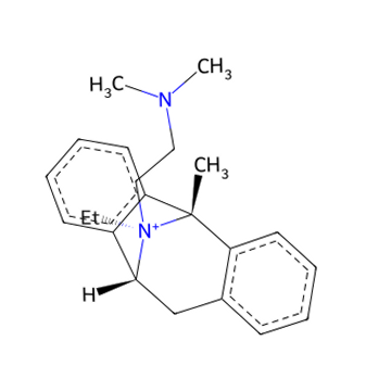 CC[N@@+]1(CCN(C)C)[C@@H]2Cc3ccccc3[C@@]1(C)c1ccccc12